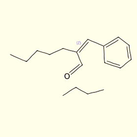 CCCC.CCCCC/C(C=O)=C/c1ccccc1